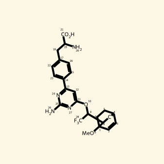 COC12C=CC(CC1)CC2C(Oc1cc(-c2ccc(CC(N)C(=O)O)cc2)nc(N)n1)C(F)(F)F